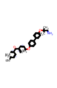 C=C(/C=C\C(=C/C)C(=O)C(/C=C\C(=C)C(C)(C)C)=C/C)Oc1ccc(-c2ccc(OC(C)(C)CN)cc2)cc1